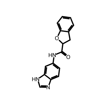 O=C(Nc1ccc2nc[nH]c2c1)C1Cc2ccccc2O1